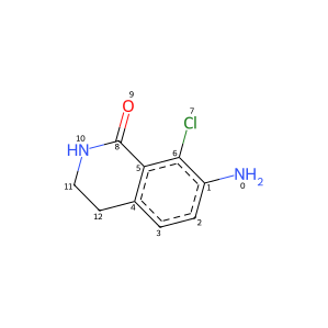 Nc1ccc2c(c1Cl)C(=O)NCC2